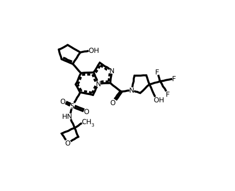 CC1(NS(=O)(=O)c2cc(C3=CCCC3O)c3cnc(C(=O)N4CCC(O)(C(F)(F)F)C4)n3c2)COC1